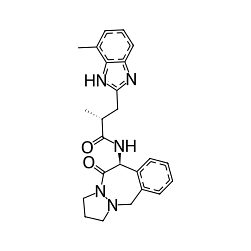 Cc1cccc2nc(C[C@@H](C)C(=O)N[C@@H]3C(=O)N4CCCN4Cc4ccccc43)[nH]c12